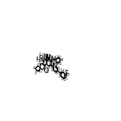 O=C1CC2(CCCC2)CC2=C1C(/C=C/c1ccc(-c3cccc(F)c3)cn1)c1c(C(=O)NC3CCCC3)n[nH]c1N2